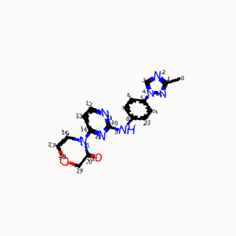 Cc1ncn(-c2ccc(Nc3nccc(N4CCOCC4=O)n3)cc2)n1